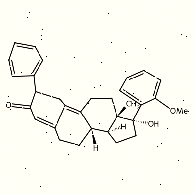 COc1ccccc1[C@@]1(O)CC[C@H]2[C@@H]3CCC4=CC(=O)C(c5ccccc5)CC4=C3CC[C@@]21C